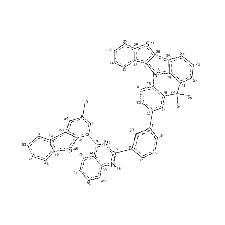 Cc1cc(-c2nc(-c3cccc(-c4ccc5c(c4)C(C)(C)c4cccc6c7sc8ccccc8c7n-5c46)c3)nc3ccccc23)c2sc3ccccc3c2c1